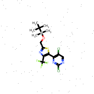 CC(C)(C)[Si](C)(C)OCc1nc(C(F)(F)F)c(-c2nc(Cl)ncc2Cl)s1